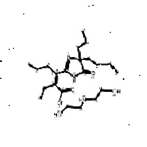 CCCCC1(CCC)N=C(/C(CCC)=C(/CC)C(=O)O)NC1=O.OCCNCCO